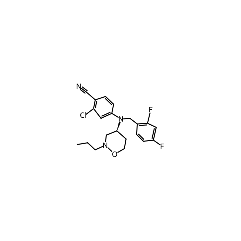 CCCN1C[C@@H](N(Cc2ccc(F)cc2F)c2ccc(C#N)c(Cl)c2)CCO1